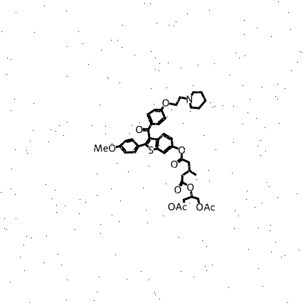 COc1ccc(-c2sc3cc(OC(=O)CC(C)CC(=O)OC(COC(C)=O)COC(C)=O)ccc3c2C(=O)c2ccc(OCCN3CCCCC3)cc2)cc1